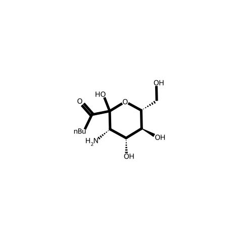 CCCCC(=O)C1(O)O[C@H](CO)[C@@H](O)[C@H](O)[C@@H]1N